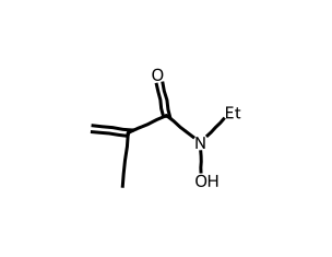 C=C(C)C(=O)N(O)CC